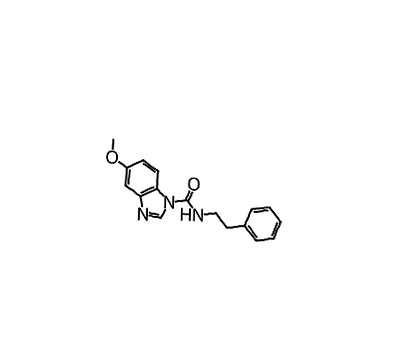 COc1ccc2c(c1)ncn2C(=O)NCCc1ccccc1